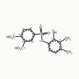 Cc1ccc(OS(=O)(=O)c2ccc(C(=O)O)c(C(=O)O)c2)c(S)c1C